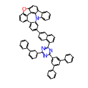 c1ccc(-c2cccc(-c3nc(-c4cc(-c5ccccc5)cc(-c5ccccc5)c4)nc(-c4cccc5cc(-c6ccc7c8cccc9oc%10ccc%11c%12ccccc%12n(c7c6)c%11c%10c98)ccc45)n3)c2)cc1